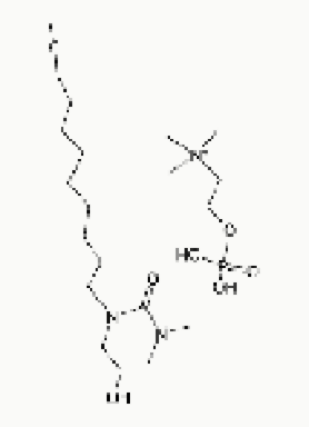 CCCCCCCCCCCN(CCO)C(=O)N(C)C.C[N+](C)(C)CCOP(=O)(O)O